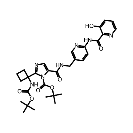 CC(C)(C)OC(=O)NC1(c2ncc(C(=O)NCc3ccc(NC(=O)c4ncccc4O)nc3)n2C(=O)OC(C)(C)C)CCC1